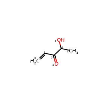 C=CC(=O)C(C)O